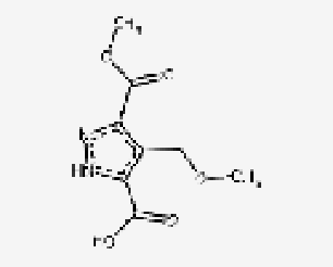 COCc1c(C(=O)OC)n[nH]c1C(=O)O